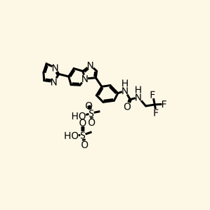 CS(=O)(=O)O.CS(=O)(=O)O.O=C(NCC(F)(F)F)Nc1cccc(-c2cnc3cc(-c4ncccn4)ccn23)c1